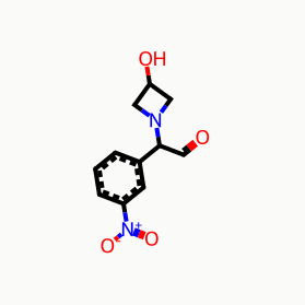 O=CC(c1cccc([N+](=O)[O-])c1)N1CC(O)C1